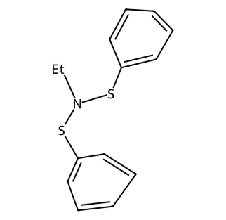 CCN(Sc1ccccc1)Sc1ccccc1